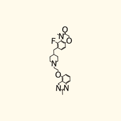 Cc1ncc2c(OCCN3CCC(Cc4ccc5c(c4F)N(C)C(=O)CO5)CC3)cccc2n1